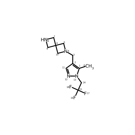 Cc1c(CN2CC3(CNC3)C2)cnn1CC(F)(F)F